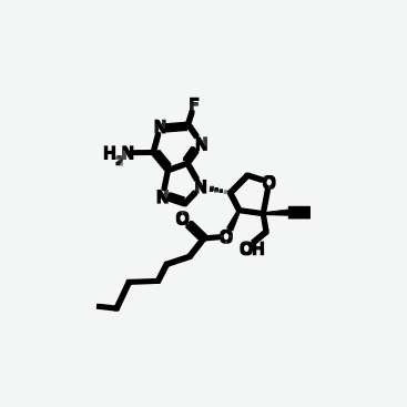 C#C[C@]1(CO)OC[C@@H](n2cnc3c(N)nc(F)nc32)[C@@H]1OC(=O)CCCCCC